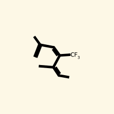 C=C(C)/C=C(\C(C)=C/C)C(F)(F)F